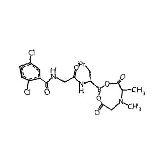 CC(C)C[C@H](NC(=O)CNC(=O)c1cc(Cl)ccc1Cl)B1OC(=O)CN(C)C(C)C(=O)O1